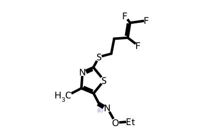 CCO/N=C/c1sc(SCCC(F)=C(F)F)nc1C